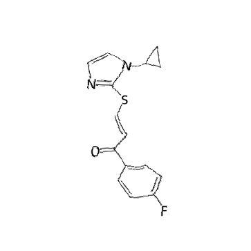 O=C(/C=C/Sc1nccn1C1CC1)c1ccc(F)cc1